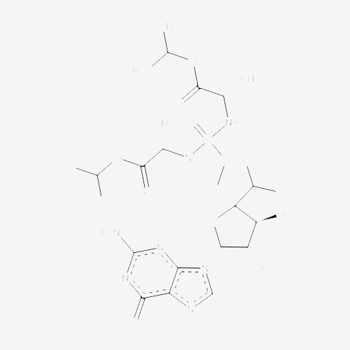 CC(C)OC(=O)[C@H](C)NP(=O)(N[C@@H](C)C(=O)OC(C)C)OC[C@@]1(C(F)F)O[C@@H](n2cnc3c(=O)[nH]c(N)nc32)[C@@H](F)[C@@H]1O